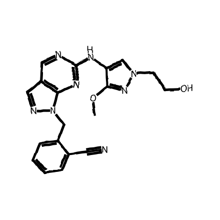 COc1nn(CCO)cc1Nc1ncc2cnn(Cc3ccccc3C#N)c2n1